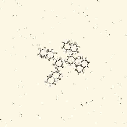 CN1C(c2cccc3ccccc23)=NC(c2cc(-c3ccc4cccnc4c3)cc(-c3ccc4cccnc4c3)c2)=NC1c1cccc2ccccc12